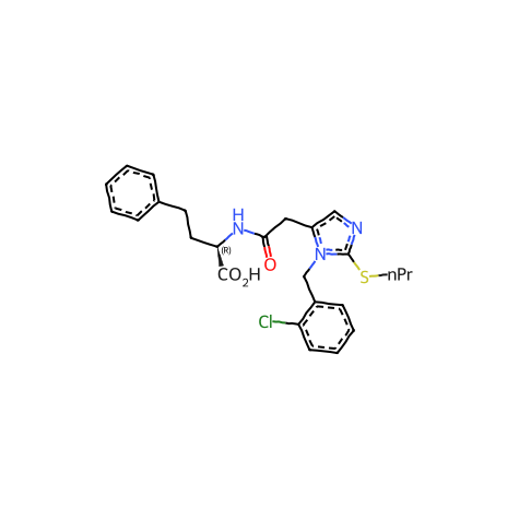 CCCSc1ncc(CC(=O)N[C@H](CCc2ccccc2)C(=O)O)n1Cc1ccccc1Cl